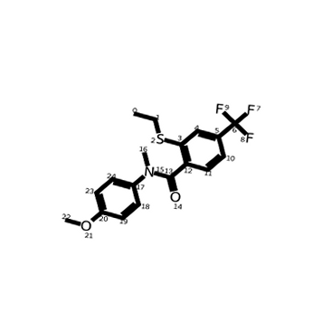 CCSc1cc(C(F)(F)F)ccc1C(=O)N(C)c1ccc(OC)cc1